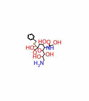 NC[C@@H](O)[C@@H](O)C1OC(SCc2ccccc2)(C(=O)O)CC(O)C1NC(=O)CO